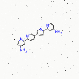 Nc1ccnc(-c2ccc(-c3ccc(-c4cc(N)ccn4)nc3)cn2)c1